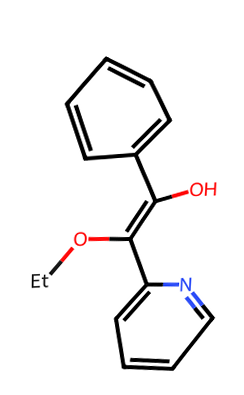 CCOC(=C(O)c1ccccc1)c1ccccn1